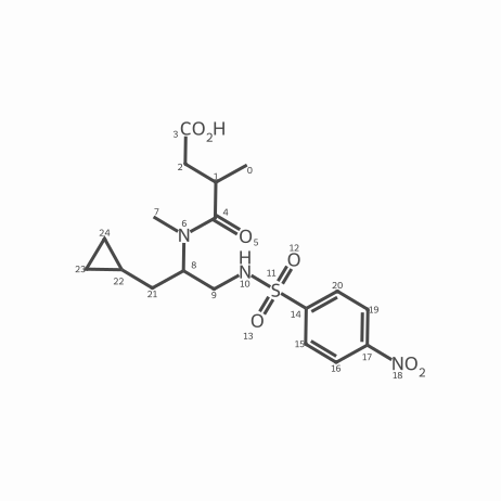 CC(CC(=O)O)C(=O)N(C)C(CNS(=O)(=O)c1ccc([N+](=O)[O-])cc1)CC1CC1